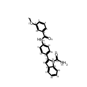 COc1cccc(C(=O)Nc2ccc(-c3cc4ccccc4n3C(N)=O)cc2)c1